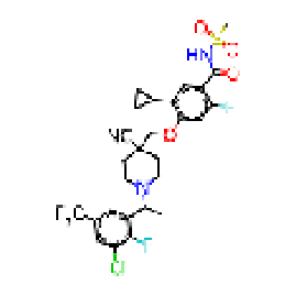 CC(c1cc(C(F)(F)F)cc(Cl)c1F)N1CCC(C#N)(COc2cc(F)c(C(=O)NS(C)(=O)=O)cc2C2CC2)CC1